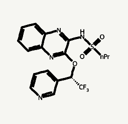 CCCS(=O)(=O)Nc1nc2ccccc2nc1O[C@@H](c1cccnc1)C(F)(F)F